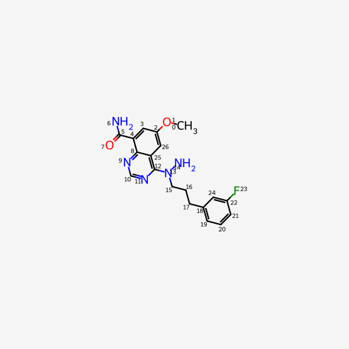 COc1cc(C(N)=O)c2ncnc(N(N)CCCc3cccc(F)c3)c2c1